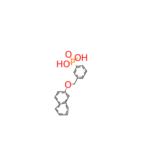 O=P(O)(O)c1cccc(COc2ccc3ccccc3c2)c1